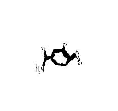 CCOc1ccc(C(N)CC)cc1Cl